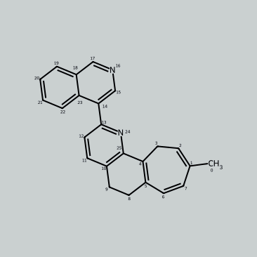 CC1=CCC2=C(C=C1)CCc1ccc(-c3cncc4ccccc34)nc12